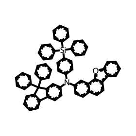 c1ccc(C2(c3ccccc3)c3ccccc3-c3ccc(N(c4ccc([Si](c5ccccc5)(c5ccccc5)c5ccccc5)cc4)c4ccc5ccc6c7ccccc7oc6c5c4)cc32)cc1